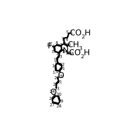 Cc1c(CCCC(=O)O)c2cc(F)cc(C=Cc3ccc(OCC=CCOc4ccccc4)cc3)c2n1CC(=O)O